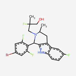 CC1Cc2c([nH]c3ccc(F)cc23)C(c2c(F)cc(Br)cc2F)N1CC(C)(F)CO